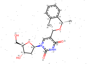 CC(C)[C@H](OCc1cn([C@H]2C[C@H](O)[C@@H](CO)O2)c(=O)[nH]c1=O)c1ccccc1[N+](=O)[O-]